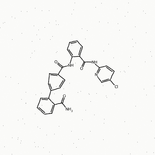 NC(=O)c1ccccc1-c1ccc(C(=O)Nc2ccccc2C(=O)Nc2ccc(Cl)cn2)cc1